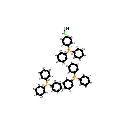 [Cl][IrH].c1ccc(P(c2ccccc2)c2ccccc2)cc1.c1ccc(P(c2ccccc2)c2ccccc2)cc1.c1ccc(P(c2ccccc2)c2ccccc2)cc1